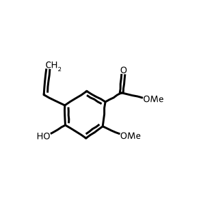 C=Cc1cc(C(=O)OC)c(OC)cc1O